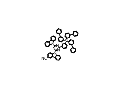 N#Cc1ccc2c(c1)c1ccccc1n2-c1nc(-c2cccc([Si](c3cccc(-c4ccccc4)c3)(c3cccc(-c4ccccc4)c3)c3cccc(-c4ccccc4)c3)c2)nc(-n2c3ccccc3c3ccccc32)n1